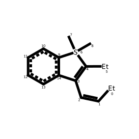 CC/C=C\C1=C(CC)S(C)(C)c2ccccc21